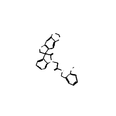 COc1ccccc1CNC(=O)CN1C(=O)C2(COc3cc4c(cc32)OCO4)c2ccccc21